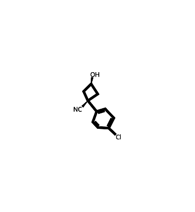 N#C[C@]1(c2ccc(Cl)cc2)C[C@H](O)C1